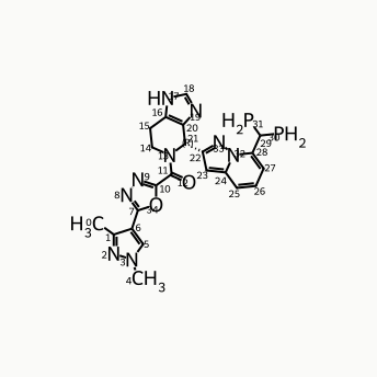 Cc1nn(C)cc1-c1nnc(C(=O)N2CCc3[nH]cnc3[C@@H]2c2cc3cccc(C(P)P)n3n2)o1